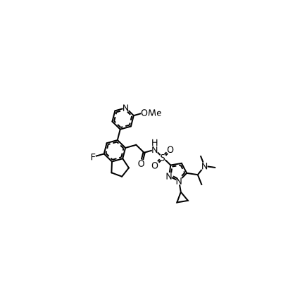 COc1cc(-c2cc(F)c3c(c2CC(=O)NS(=O)(=O)c2cc(C(C)N(C)C)n(C4CC4)n2)CCC3)ccn1